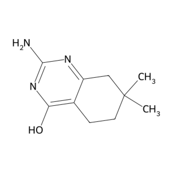 CC1(C)CCc2c(O)nc(N)nc2C1